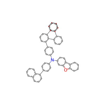 c1ccc(-c2ccccc2-c2c(-c3ccccc3)cccc2-c2ccc(N(c3ccc(-c4cccc5ccccc45)cc3)c3ccc4c(c3)oc3ccccc34)cc2)cc1